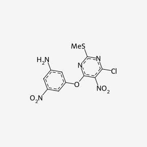 CSc1nc(Cl)c([N+](=O)[O-])c(Oc2cc(N)cc([N+](=O)[O-])c2)n1